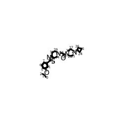 CC(C)Oc1cccc(-c2nc3c(s2)CN(CC(=O)N2CCN(C4CCC4)CC2)CC3)c1